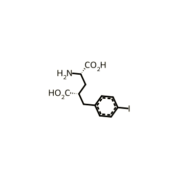 N[C@@H](C[C@H](Cc1ccc(I)cc1)C(=O)O)C(=O)O